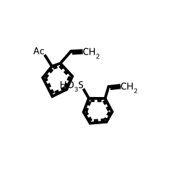 C=Cc1ccccc1C(C)=O.C=Cc1ccccc1S(=O)(=O)O